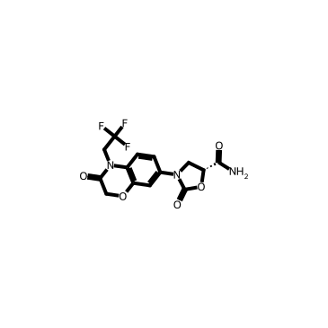 NC(=O)[C@H]1CN(c2ccc3c(c2)OCC(=O)N3CC(F)(F)F)C(=O)O1